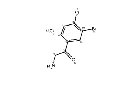 Cl.NCC(=O)c1ccc(Cl)c(Br)c1